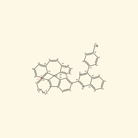 C/C=C\C1=C(C)c2ccc(-c3nc(-c4ccc(C#N)cc4)c4ccccc4n3)cc2C12c1ccccc1C=Cc1ccccc12